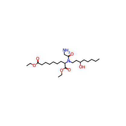 CCCCCC(O)CCN(C(=O)CN)C(CCCCCCC(=O)OCC)C(=O)OCC